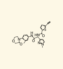 C#Cc1ccc(C(=O)NC(C(=O)Nc2ccc(N3CCOCC3=O)c(C)c2)c2ccn(C)n2)s1